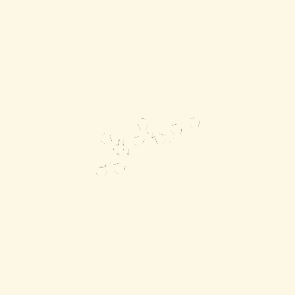 c1ccc(-c2ccc3c(c2)oc2ccc(-n4c5ccccc5c5cc(-c6nc(-c7ccccc7)nc(-c7cccc8c7oc7ccccc78)n6)ccc54)cc23)cc1